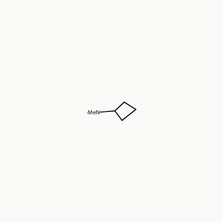 C[N]C1CCC1